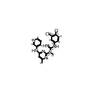 Cc1cc(Nc2cccnc2)nc(N(C)C(=N)Nc2ccc(Cl)c(Cl)c2)n1